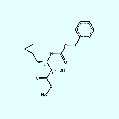 COC(=O)[C@@H](O)[C@H](CC1CC1)NC(=O)OCc1ccccc1